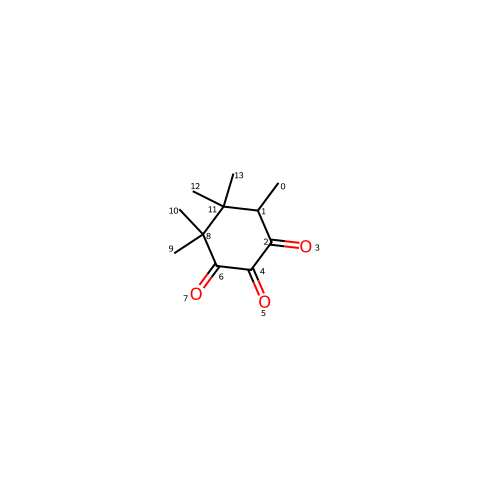 CC1C(=O)C(=O)C(=O)C(C)(C)C1(C)C